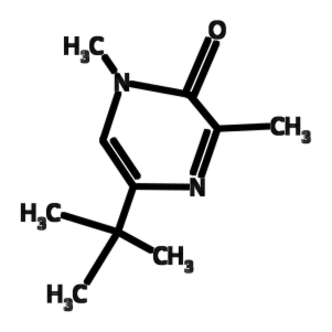 Cc1nc(C(C)(C)C)cn(C)c1=O